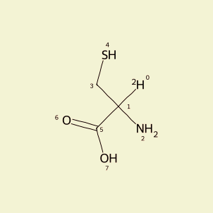 [2H]C(N)(CS)C(=O)O